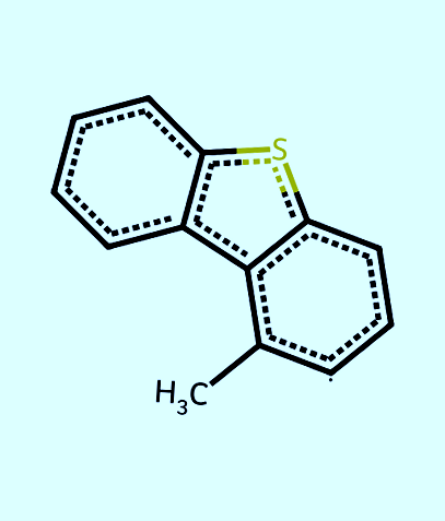 Cc1[c]ccc2sc3ccccc3c12